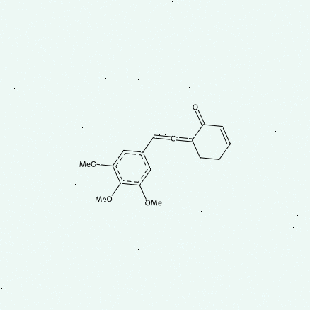 COc1cc(C=C=C2CCC=CC2=O)cc(OC)c1OC